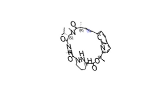 CC(C)[C@H]1C(=O)N[C@@H](C)C(=O)N2CCC[C@H](N2)C(=O)O[C@H](C)c2ccc3ccc(cc3n2)/C=C/[C@@H](C)C(=O)N1C